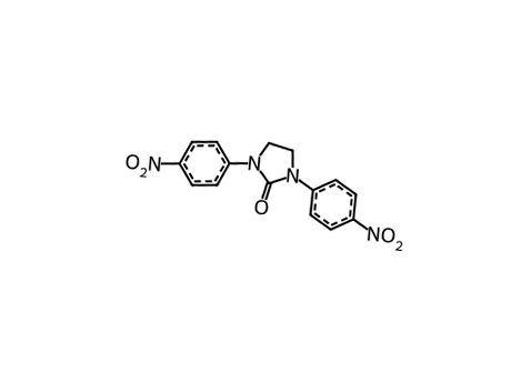 O=C1N(c2ccc([N+](=O)[O-])cc2)CCN1c1ccc([N+](=O)[O-])cc1